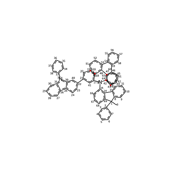 CC1(c2ccccc2)c2ccccc2-c2c(N(c3cccc(-c4ccc5c6ccccc6n(-c6ccccc6)c5c4)c3)c3ccccc3-c3ccccc3-c3ccccc3-c3ccccc3)cccc21